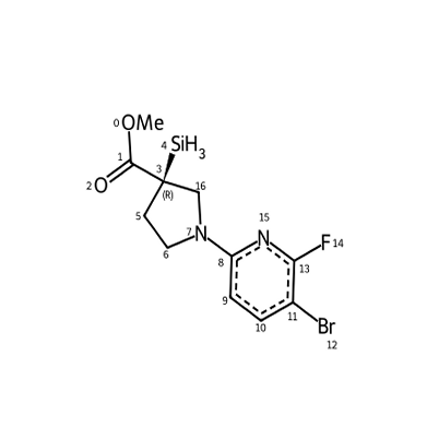 COC(=O)[C@@]1([SiH3])CCN(c2ccc(Br)c(F)n2)C1